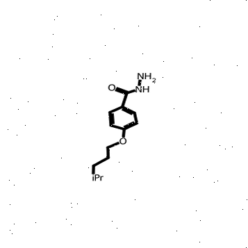 CC(C)CCCOc1ccc(C(=O)NN)cc1